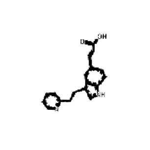 O=C(O)C=Cc1ccc2[nH]cc(CCc3ccccn3)c2c1